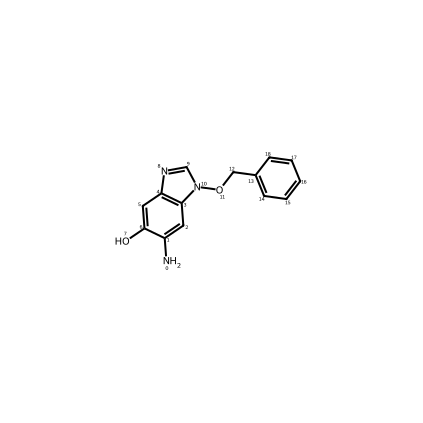 Nc1cc2c(cc1O)ncn2OCc1ccccc1